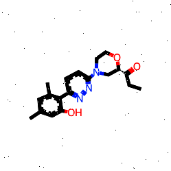 CCC(=O)[C@@H]1CN(c2ccc(-c3c(C)cc(C)cc3O)nn2)CCO1